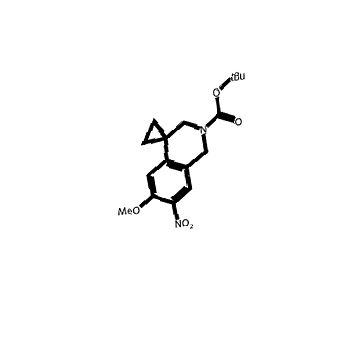 COc1cc2c(cc1[N+](=O)[O-])CN(C(=O)OC(C)(C)C)CC21CC1